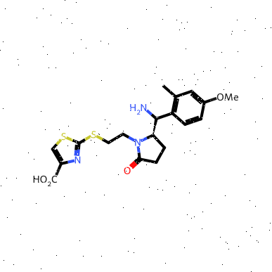 COc1ccc(C(N)[C@H]2CCC(=O)N2CCSc2nc(C(=O)O)cs2)c(C)c1